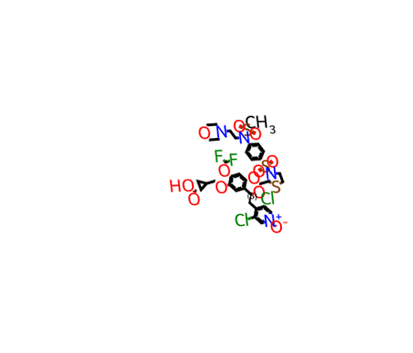 CS(=O)(=O)N(CCN1CCOCC1)c1ccc(S(=O)(=O)N2CCSC2C(=O)O[C@@H](Cc2c(Cl)c[n+]([O-])cc2Cl)c2ccc(OC(F)F)c(OCC3CC3)c2)cc1.O=CO